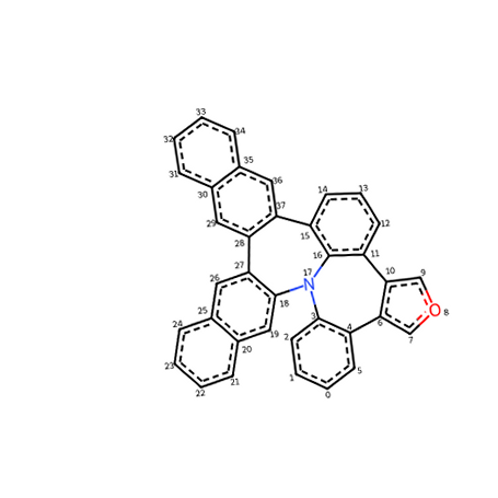 c1ccc2c(c1)-c1cocc1-c1cccc3c1N2c1cc2ccccc2cc1-c1cc2ccccc2cc1-3